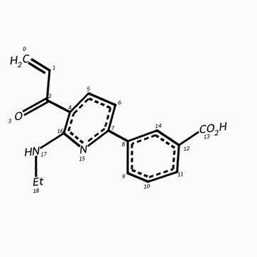 C=CC(=O)c1ccc(-c2cccc(C(=O)O)c2)nc1NCC